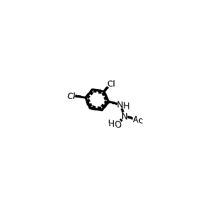 CC(=O)N(O)Nc1ccc(Cl)cc1Cl